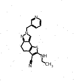 CCNc1sc2c(c1C#N)CCc1nn(Cc3cccnc3)cc1-2